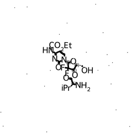 CCOC(=O)Nc1ccn([C@@H]2O[C@H](CO)[C@@H](OC(=O)[C@@H](N)C(C)C)C2(F)F)c(=O)n1